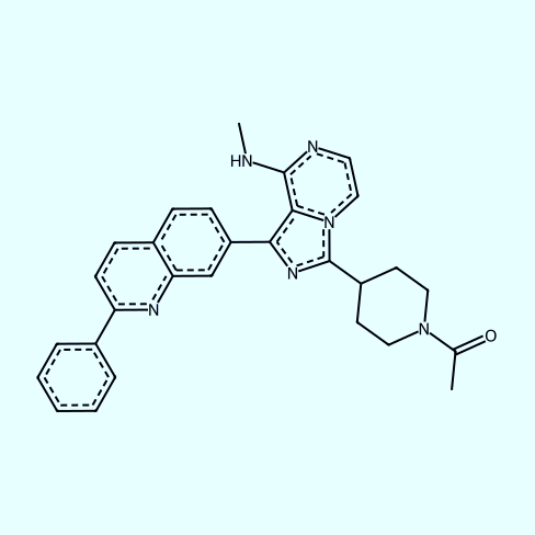 CNc1nccn2c(C3CCN(C(C)=O)CC3)nc(-c3ccc4ccc(-c5ccccc5)nc4c3)c12